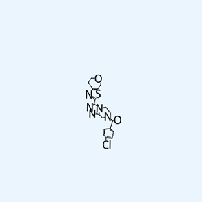 O=C(c1ccc(Cl)cc1)N1CCn2c(nnc2-c2nc3c(s2)COCC3)C1